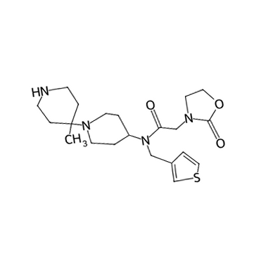 CC1(N2CCC(N(Cc3ccsc3)C(=O)CN3CCOC3=O)CC2)CCNCC1